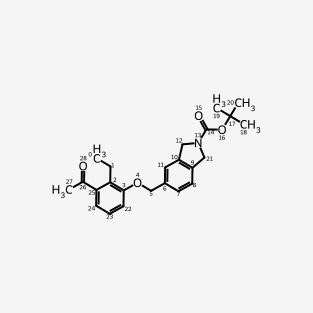 CCc1c(OCc2ccc3c(c2)CN(C(=O)OC(C)(C)C)C3)cccc1C(C)=O